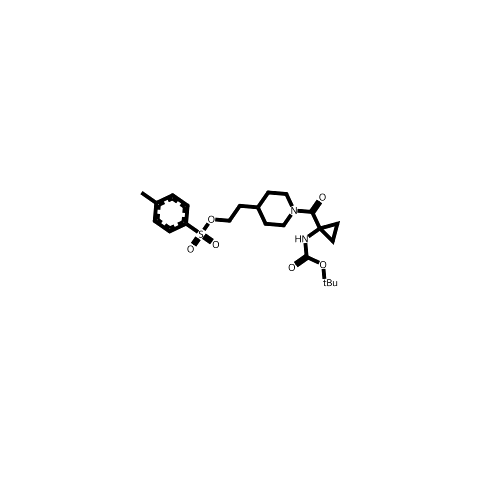 Cc1ccc(S(=O)(=O)OCCC2CCN(C(=O)C3(NC(=O)OC(C)(C)C)CC3)CC2)cc1